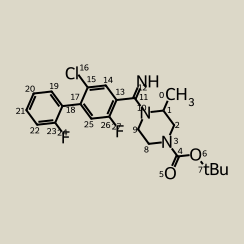 CC1CN(C(=O)OC(C)(C)C)CCN1C(=N)c1cc(Cl)c(-c2ccccc2F)cc1F